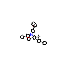 CC1(C)c2cc(-c3ccccc3)ccc2-c2cc(-c3ccccc3)c(N(c3ccc(C4CCCCC4)cc3)c3ccc(C4C5CC6CC(C5)CC4C6)cc3)cc21